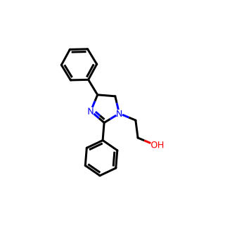 OCCN1CC(c2ccccc2)N=C1c1ccccc1